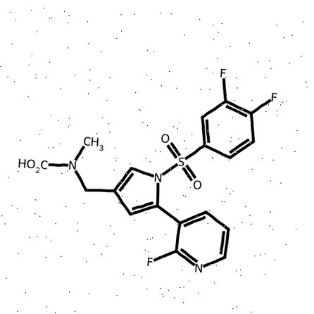 CN(Cc1cc(-c2cccnc2F)n(S(=O)(=O)c2ccc(F)c(F)c2)c1)C(=O)O